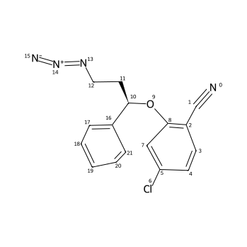 N#Cc1ccc(Cl)cc1O[C@H](CCN=[N+]=[N-])c1ccccc1